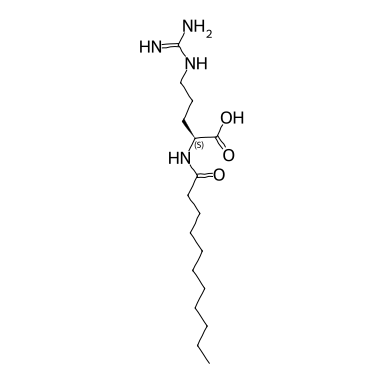 CCCCCCCCCCC(=O)N[C@@H](CCCNC(=N)N)C(=O)O